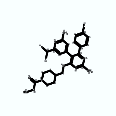 Cc1cc(-c2c(OCC3CCN(C(=O)OC(C)(C)C)CC3)nc(N)nc2-c2ccc(F)cc2)cc(C(F)F)n1